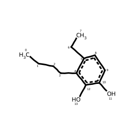 CCCCc1c(CC)ccc(O)c1O